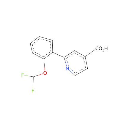 O=C(O)c1ccnc(-c2ccccc2OC(F)F)c1